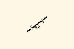 CCCCOC(=O)CCCCCCCCC(=O)OCCCC.O.O